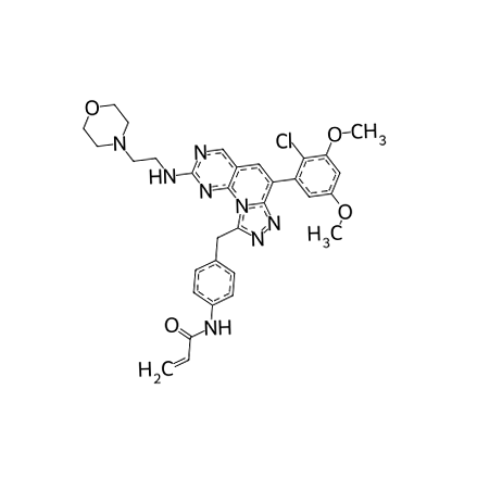 C=CC(=O)Nc1ccc(Cc2nnc3c(-c4cc(OC)cc(OC)c4Cl)cc4cnc(NCCN5CCOCC5)nc4n23)cc1